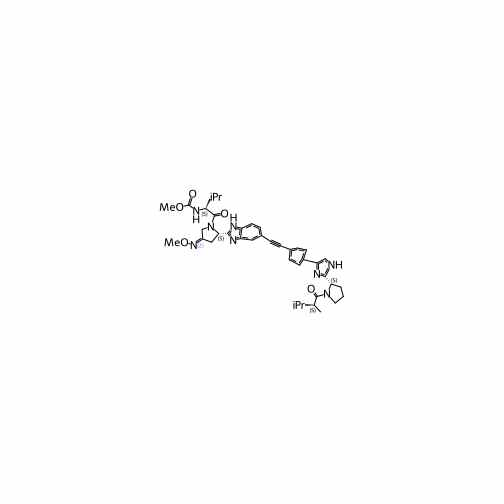 CO/N=C1/C[C@@H](c2nc3cc(C#Cc4ccc(-c5c[nH]c([C@@H]6CCCN6C(=O)[C@@H](C)C(C)C)n5)cc4)ccc3[nH]2)N(C(=O)[C@@H](NC(=O)OC)C(C)C)C1